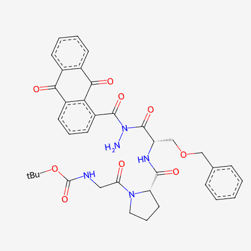 CC(C)(C)OC(=O)NCC(=O)N1CCC[C@H]1C(=O)N[C@@H](COCc1ccccc1)C(=O)N(N)C(=O)c1cccc2c1C(=O)c1ccccc1C2=O